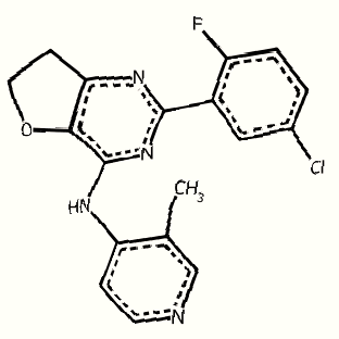 Cc1cnccc1Nc1nc(-c2cc(Cl)ccc2F)nc2c1OCC2